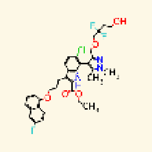 CCOC(=O)c1[nH]c2c(-c3c(COCC(F)(F)CCO)nn(C)c3C)c(Cl)ccc2c1CCCOc1cccc2cc(F)ccc12